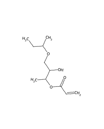 C=CC(=O)OC(C)C(O)COC(C)CC